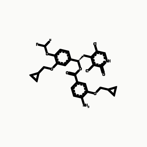 Nc1ccc(C(=O)O[C@@H](Cc2c(Cl)c[nH]c(=O)c2Cl)c2ccc(OC(F)F)c(OCC3CC3)c2)cc1OCC1CC1